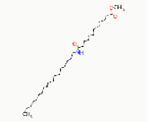 CCCCCC=CCC=CCCCCCCCCNC(=O)CCCCCCCCCCC(=O)OC